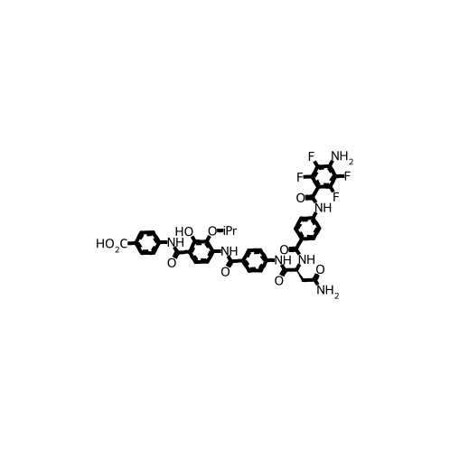 CC(C)Oc1c(NC(=O)c2ccc(NC(=O)[C@H](CC(N)=O)NC(=O)c3ccc(NC(=O)c4c(F)c(F)c(N)c(F)c4F)cc3)cc2)ccc(C(=O)Nc2ccc(C(=O)O)cc2)c1O